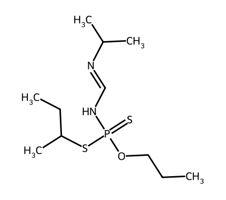 CCCOP(=S)(NC=NC(C)C)SC(C)CC